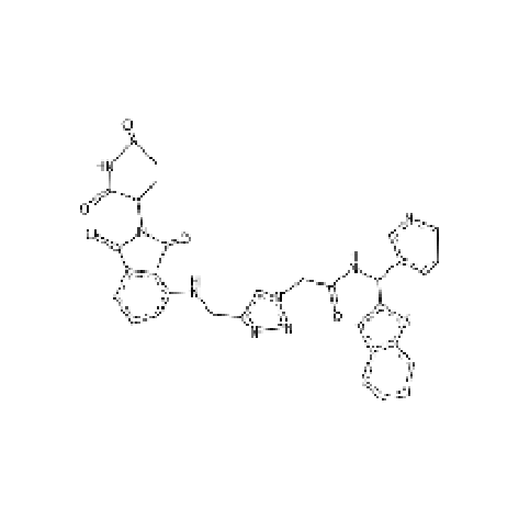 O=C1CCC(N2C(=O)c3cccc(NCc4cn(CC(=O)NC(c5cccnc5)c5cc6ccccc6s5)nn4)c3C2=O)C(=O)N1